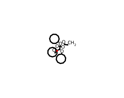 C=CC(=O)OC(OC1CCCCCCCCC1)(OC1CCCCCCCCC1)C(OC1CCCCCCCCC1)C1CO1